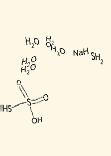 O.O.O.O.O.O=S(=O)(O)S.S.[NaH]